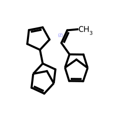 C/C=C\C1CC2C=CC1C2.C1=CCC(C2CC3C=CC2C3)C1